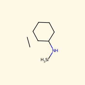 CC.[SiH3]NC1CCCCC1